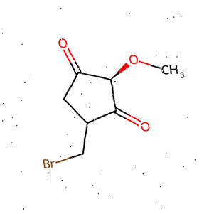 CO[C@@H]1C(=O)CC(CBr)C1=O